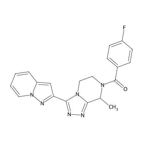 CC1c2nnc(-c3cc4ccccn4n3)n2CCN1C(=O)c1ccc(F)cc1